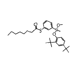 CCCCCCCC(=O)Sc1cccc([Si](C)(OC)Oc2ccc(C(C)(C)C)cc2C(C)(C)C)c1